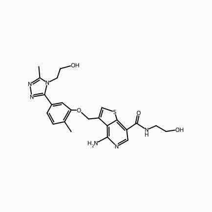 Cc1ccc(-c2nnc(C)n2CCO)cc1OCc1csc2c(C(=O)NCCO)cnc(N)c12